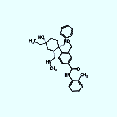 CC[C@@]1(O)CC[C@@](Cc2ccccc2)(c2ccc(C(=O)Nc3cccnc3C)cc2CO)[C@H](CNC)C1